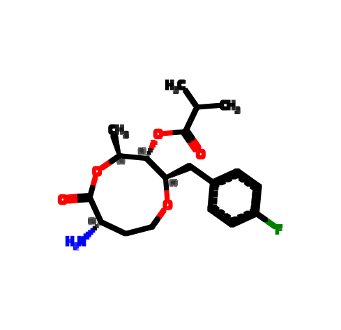 CC(C)C(=O)O[C@H]1[C@H](C)OC(=O)[C@@H](N)CCO[C@@H]1Cc1ccc(F)cc1